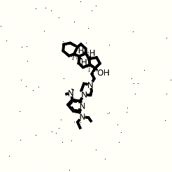 CCN(CC)c1ccc(N(C)C)c(N2CCN(CC[C@@]3(O)CC[C@H]4[C@@H]5CCC6CCCC[C@]6(C)[C@H]5CC[C@@]43C)CC2)n1